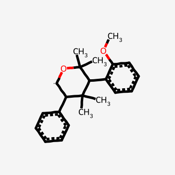 COc1ccccc1C1C(C)(C)O[CH]C(c2ccccc2)C1(C)C